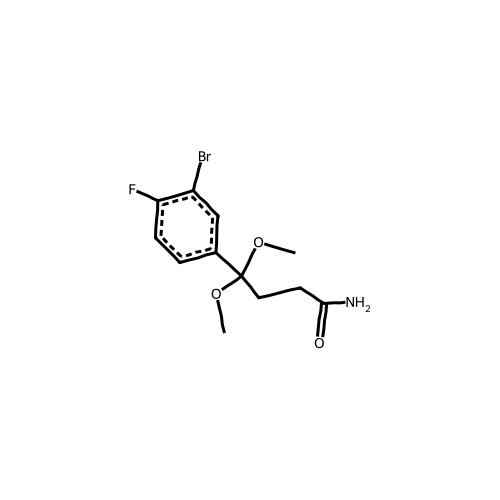 COC(CCC(N)=O)(OC)c1ccc(F)c(Br)c1